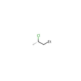 CCC[C@H](C)Cl